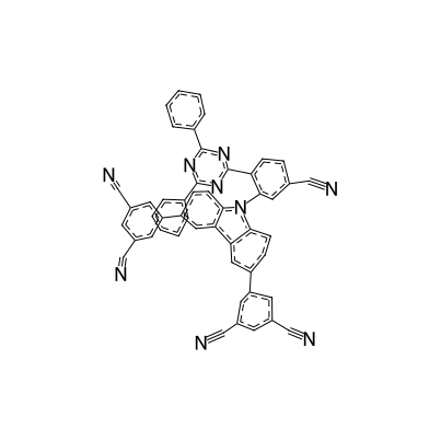 N#Cc1cc(C#N)cc(-c2ccc3c(c2)c2cc(-c4cc(C#N)cc(C#N)c4)ccc2n3-c2cc(C#N)ccc2-c2nc(-c3ccccc3)nc(-c3ccccc3)n2)c1